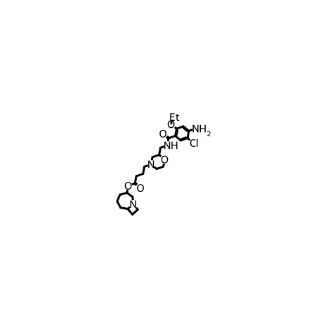 CCOc1cc(N)c(Cl)cc1C(=O)NCC1CN(CCCC(=O)OC2CCCC3CCN3C2)CCO1